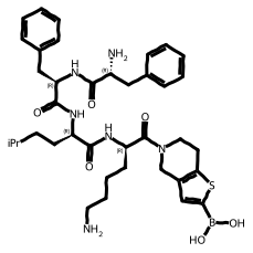 CC(C)CC[C@@H](NC(=O)[C@@H](Cc1ccccc1)NC(=O)[C@H](N)Cc1ccccc1)C(=O)N[C@H](CCCCN)C(=O)N1CCc2sc(B(O)O)cc2C1